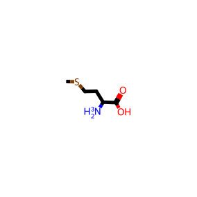 CSCCC([3NH2])C(=O)O